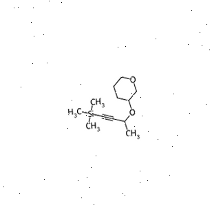 CC(C#C[Si](C)(C)C)OC1CCCOC1